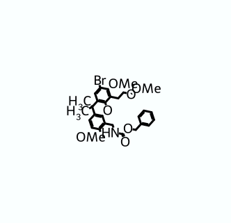 COOCCc1c(OC)c(Br)cc2c1Oc1c(ccc(OC)c1CNC(=O)OCc1ccccc1)C2(C)C